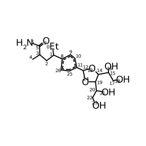 CCC(CC(C)C(N)=O)c1ccc(C2OC(C(O)CO)C(C(O)CO)O2)cc1